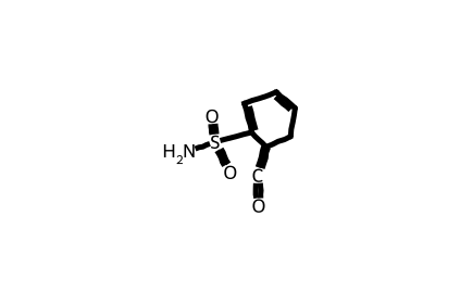 NS(=O)(=O)C1=CC=CCC1=C=O